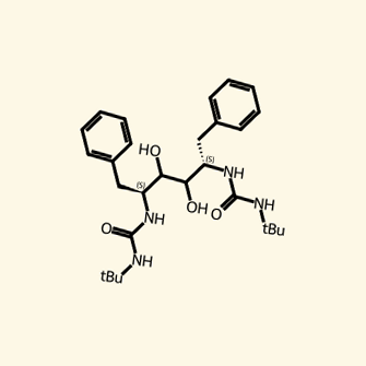 CC(C)(C)NC(=O)N[C@@H](Cc1ccccc1)C(O)C(O)[C@H](Cc1ccccc1)NC(=O)NC(C)(C)C